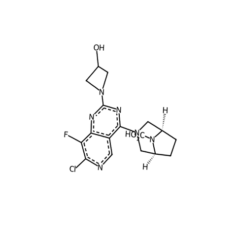 O=C(O)N1[C@@H]2CC[C@H]1CN(c1nc(N3CC(O)C3)nc3c(F)c(Cl)ncc13)C2